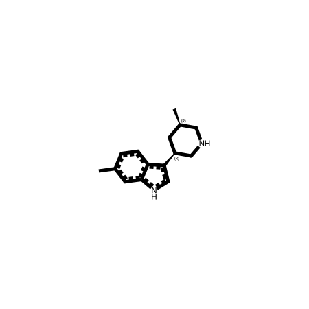 Cc1ccc2c([C@@H]3CNC[C@H](C)C3)c[nH]c2c1